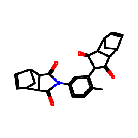 Cc1ccc(N2C(=O)C3C4C=CC(C4)C3C2=O)cc1C1C(=O)C2C3C=CC(C3)C2C1=O